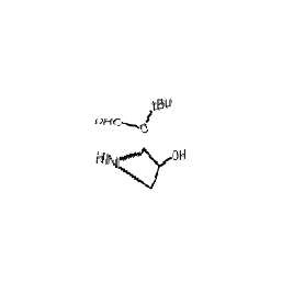 CC(C)(C)OC=O.OC1CNC1